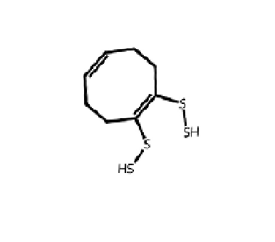 SS/C1=C(\SS)CC/C=C\CC1